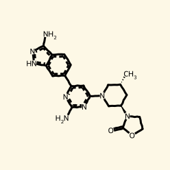 C[C@@H]1C[C@@H](N2CCOC2=O)CN(c2cc(-c3ccc4c(N)n[nH]c4c3)nc(N)n2)C1